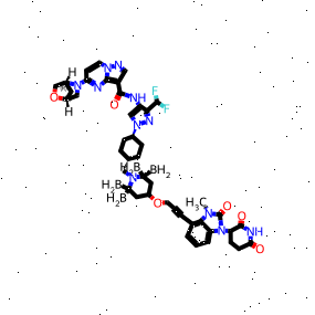 BC1(B)CC(OCC#Cc2cccc3c2n(C)c(=O)n3C2CCC(=O)NC2=O)CC(B)(B)N1C[C@H]1CC[C@H](n2cc(NC(=O)c3cnn4ccc(N5C[C@H]6C[C@@H]5CO6)nc34)c(C(F)F)n2)CC1